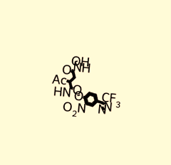 CC(=O)C(CC(=O)NO)C(=N)OOc1ccc(C2(C(F)(F)F)N=N2)cc1[N+](=O)[O-]